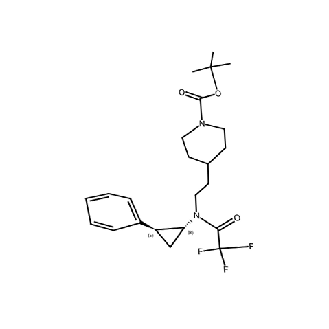 CC(C)(C)OC(=O)N1CCC(CCN(C(=O)C(F)(F)F)[C@@H]2C[C@H]2c2ccccc2)CC1